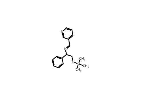 C[Si](C)(C)OCC(N=Cc1cccnc1)c1ccccc1